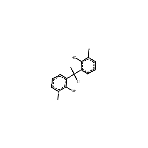 CCC(C)(c1cccc(C)c1O)c1cccc(C)c1O